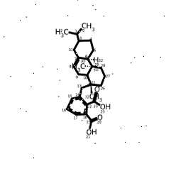 CC(C)C1CC[C@@H]2C(=CCC3[C@@](C)(Cc4cccc(C(=O)O)c4C(=O)O)CCC[C@@]32C)C1